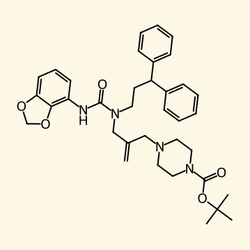 C=C(CN1CCN(C(=O)OC(C)(C)C)CC1)CN(CCC(c1ccccc1)c1ccccc1)C(=O)Nc1cccc2c1OCO2